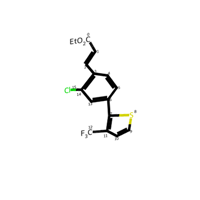 CCOC(=O)C=Cc1ccc(-c2sccc2C(F)(F)F)cc1Cl